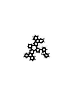 c1ccc2c(c1)-c1cc3c4ccccc4c4ccccc4c3cc1-c1ccc(-c3cccc4c3oc3ccccc34)cc1-c1cc3c4ccccc4c4ccccc4c3cc1-2